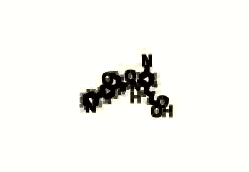 N#Cc1ccc(CCCC(=O)O)c(NC(=O)[C@@H]2C[C@]23CCOc2cc(-c4cccnc4)ccc23)c1